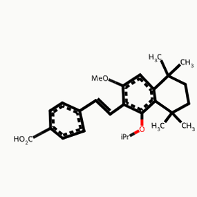 COc1cc2c(c(OC(C)C)c1/C=C/c1ccc(C(=O)O)cc1)C(C)(C)CCC2(C)C